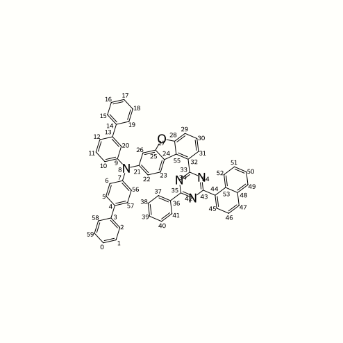 c1ccc(-c2ccc(N(c3cccc(-c4ccccc4)c3)c3ccc4c(c3)oc3cccc(-c5nc(-c6ccccc6)nc(-c6cccc7ccccc67)n5)c34)cc2)cc1